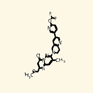 COCc1cc(=O)n2nc(N3CCc4ncc(-c5ccc(OC(F)F)nc5)cc4C3)c(C)cc2n1